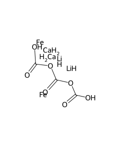 O=C(O)OC(=O)OC(=O)O.[CaH2].[CaH2].[Fe].[Fe].[LiH].[LiH]